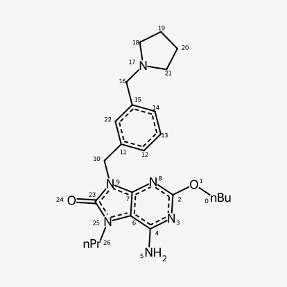 CCCCOc1nc(N)c2c(n1)n(Cc1cccc(CN3CCCC3)c1)c(=O)n2CCC